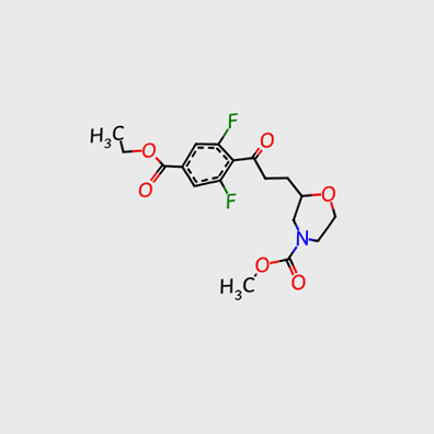 CCOC(=O)c1cc(F)c(C(=O)CCC2CN(C(=O)OC)CCO2)c(F)c1